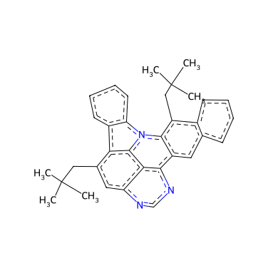 CC(C)(C)Cc1cc2ncnc3c4cc5ccccc5c(CC(C)(C)C)c4n4c5ccccc5c1c4c23